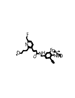 C#Cc1cc(CNC(=O)/C=C/c2ccc(CF)nc2CCCOC)cc(F)c1NS(C)(=O)=O